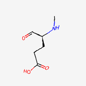 CN[C@H](C=O)CCC(=O)O